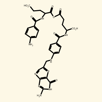 Nc1ccc(C(=O)NC(CCC(=O)O)C(=O)OC(=O)CCC(NC(=O)c2ccc(NCc3cnc4nc(N)[nH]c(=O)c4n3)cc2)C(=O)O)cc1